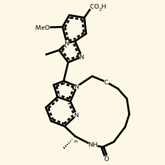 COc1cc(C(=O)O)cc2nc(-c3cc4ccc5nc4n3CCCCCCCC(=O)N[C@@H]5C)c(C)n12